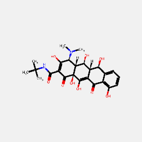 CN(C)[C@@H]1C(O)=C(C(=O)NC(C)(C)C)C(=O)[C@@]2(O)C(O)=C3C(=O)c4c(O)cccc4[C@H](O)[C@H]3[C@H](O)[C@@H]12